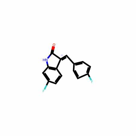 O=C1Nc2cc(F)ccc2/C1=C\c1ccc(F)cc1